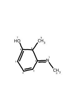 CN=C1C=CC=C(O)C1C